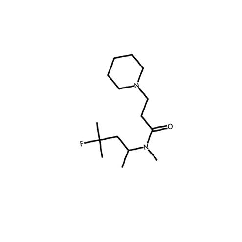 CC(CC(C)(C)F)N(C)C(=O)CCN1CCCCC1